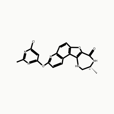 Cc1nc(Cl)cc(Oc2ccc3c(ccc4oc5c(c43)NC[C@@H](C)NC5=O)n2)n1